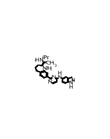 C=C(NC(C)C)C1CCCc2ccc(-c3nccc(Nc4ccc5[nH]ncc5c4)n3)cc2N1